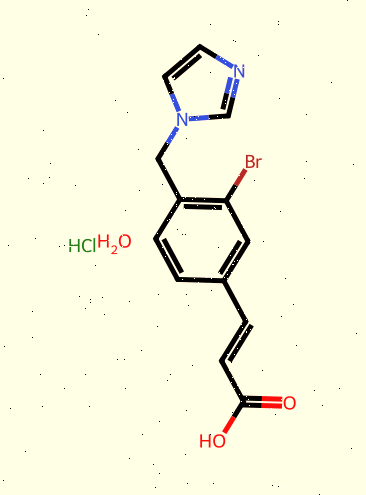 Cl.O.O=C(O)C=Cc1ccc(Cn2ccnc2)c(Br)c1